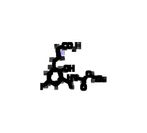 CC(NC(=O)OC(C)(C)C)c1cc(F)cc(C/C=C/C(=O)O)c1O